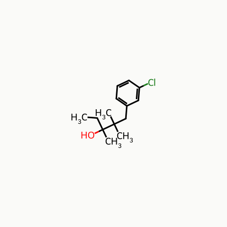 CCC(C)(O)C(C)(C)Cc1cccc(Cl)c1